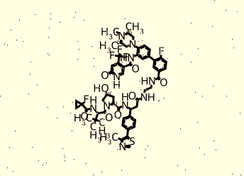 Cc1ncsc1-c1ccc(C(CC(=O)NCCNC(=O)c2ccc(F)c(-c3ccc(N4C[C@@H](C)N(C)[C@@H](C)C4)c(NC(=O)c4c[nH]c(=O)cc4C(F)(F)F)c3)c2)NC(=O)[C@@H]2C[C@@H](O)CN2C(=O)C(NC(=O)C2(F)CC2)C(C)(C)C)cc1